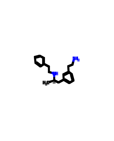 C[C@H](Cc1cccc(CCN)c1)NCCc1ccccc1